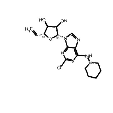 C=C[C@H]1O[C@@H](n2cnc3c(NN4CCCCC4)nc(Cl)nc32)C(O)C1O